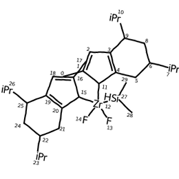 CC1=CC2=C(CC(C(C)C)CC2C(C)C)[CH]1[Zr]([F])([F])([CH]1C(C)=CC2=C1CC(C(C)C)CC2C(C)C)[SiH](C)C